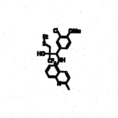 CCSCC(O)(C(Nc1cccc2nc(C)ccc12)c1ccc(OC)c(Cl)c1)C(F)(F)F